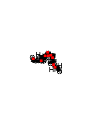 COc1nc(-c2cccc(-c3cccc(-c4ccn5c(=O)c(CNC[C@@H]6CCC(=O)N6)c(C)nc5c4)c3Cl)c2Cl)ccc1CNC[C@@H]1CCC(=O)N1